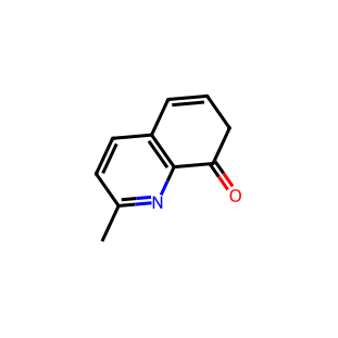 Cc1ccc2c(n1)C(=O)CC=C2